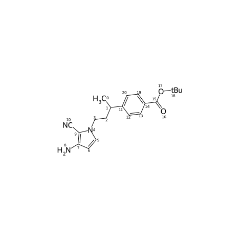 CC(CCn1ccc(N)c1C#N)c1ccc(C(=O)OC(C)(C)C)cc1